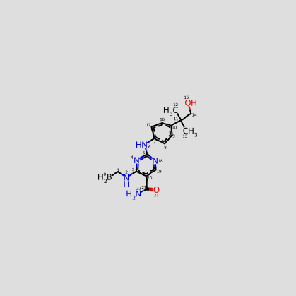 BCNc1nc(Nc2ccc(C(C)(C)CO)cc2)ncc1C(N)=O